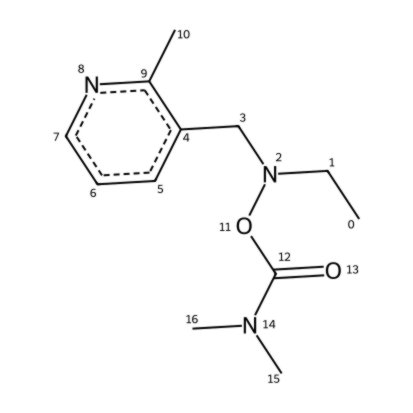 CCN(Cc1cccnc1C)OC(=O)N(C)C